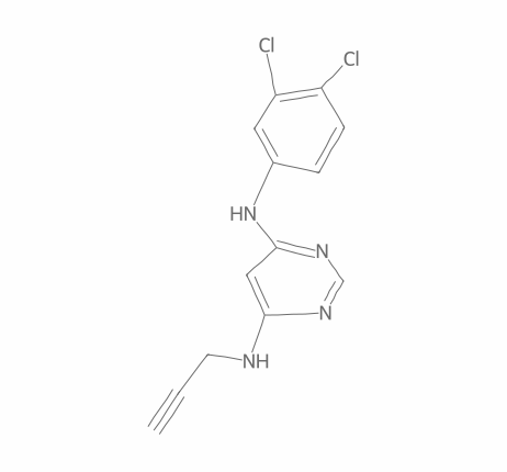 C#CCNc1cc(Nc2ccc(Cl)c(Cl)c2)ncn1